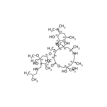 CO[C@]1(C)C[C@H](O[C@@H]2[C@@H](C)[C@@H](O[C@@H]3O[C@H](C)C[C@H](N(C)C)[C@H]3O)[C@](C)(O)C[C@@H](C)NC[C@@H](C)[C@H](O)[C@](C)(O)COC(=O)[C@@H]2C)O[C@@H](C)[C@@]1(O)CNCC(C)C